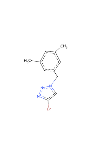 Cc1cc(C)cc(Cn2cc(Br)nn2)c1